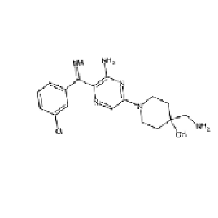 N=C(c1cccc(Cl)c1)c1ncc(N2CCC(O)(CN)CC2)nc1N